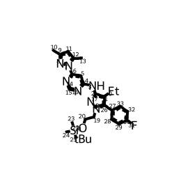 CCc1c(Nc2cc(-n3nc(C)cc3C)ncn2)nn(CCO[Si](C)(C)C(C)(C)C)c1-c1ccc(F)cc1